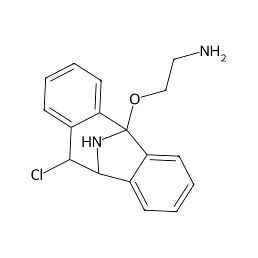 NCCOC12NC(c3ccccc31)C(Cl)c1ccccc12